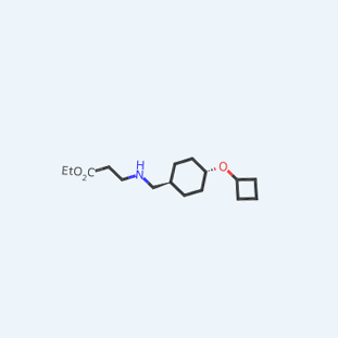 CCOC(=O)CCNC[C@H]1CC[C@H](OC2CCC2)CC1